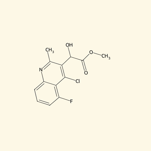 COC(=O)C(O)c1c(C)nc2cccc(F)c2c1Cl